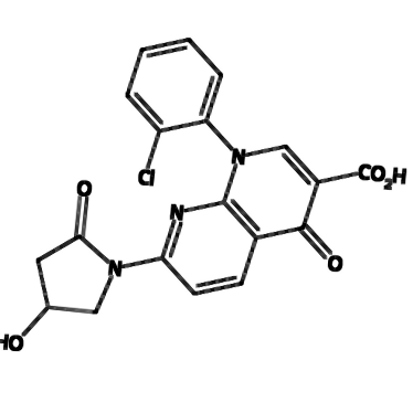 O=C(O)c1cn(-c2ccccc2Cl)c2nc(N3CC(O)CC3=O)ccc2c1=O